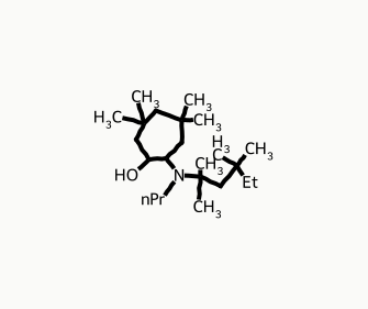 CCCN(C1CC(C)(C)CC(C)(C)CC1O)C(C)(C)CC(C)(C)CC